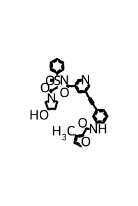 Cc1ccoc1C(=O)Nc1cccc(C#Cc2cncc(C(=O)N=[S@](=O)(CC(=O)N3CCC(O)C3)c3ccccc3)c2)c1